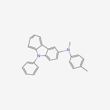 Cc1ccc(N(I)c2ccc3c(c2)c2ccccc2n3-c2ccccc2)cc1